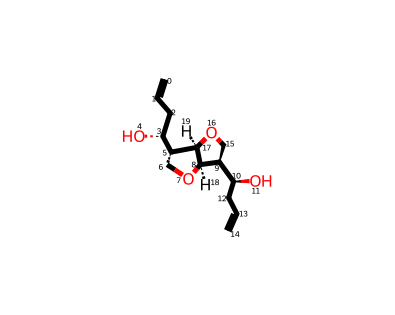 C=CC[C@@H](O)[C@H]1CO[C@@H]2[C@H]([C@@H](O)CC=C)CO[C@H]12